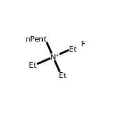 CCCCC[N+](CC)(CC)CC.[F-]